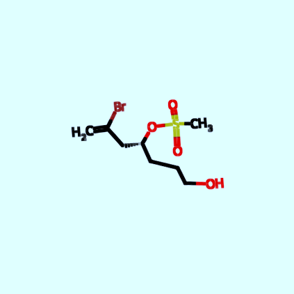 C=C(Br)C[C@@H](CCCO)OS(C)(=O)=O